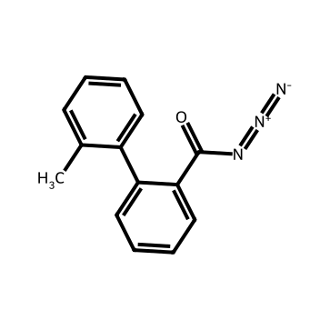 Cc1ccccc1-c1ccccc1C(=O)N=[N+]=[N-]